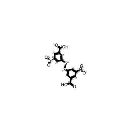 O=C(O)c1cc(SSc2cc(C(=O)O)cc([N+](=O)[O-])c2)cc([N+](=O)[O-])c1